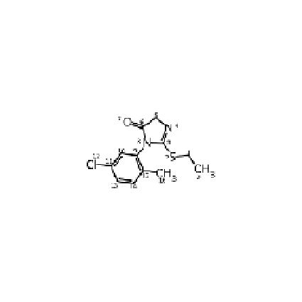 CCSC1=NCC(=O)N1c1cc(Cl)ccc1C